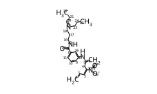 C=C/C=C(\CC(=C)Nc1cccc(C(=O)NCCCN(CCC)CCC)c1)[N+](=O)[O-]